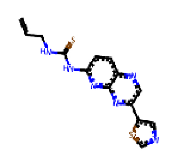 C=CCNC(=S)Nc1ccc2ncc(-c3cncs3)nc2n1